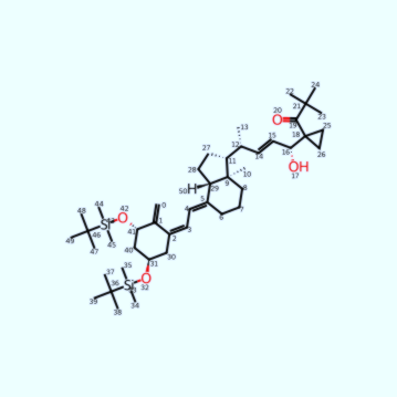 C=C1/C(=C\C=C2/CCC[C@]3(C)[C@@H]([C@H](C)/C=C/[C@@H](O)C4(C(=O)C(C)(C)C)CC4)CC[C@@H]23)C[C@@H](O[Si](C)(C)C(C)(C)C)C[C@@H]1O[Si](C)(C)C(C)(C)C